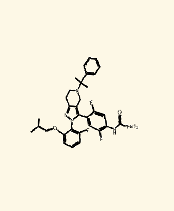 CC(C)COc1cccc(F)c1-n1nc2c(c1-c1cc(F)c(NC(N)=O)cc1F)CN(C(C)(C)c1ccccc1)CC2